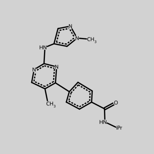 Cc1cnc(Nc2cnn(C)c2)nc1-c1ccc(C(=O)NC(C)C)cc1